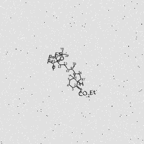 CCOC(=O)/C=C1\CCC[C@]2(C)[C@@H]([C@H](C)CCCC(O[Si](C)(C)C)(C(F)F)C(F)F)CC[C@@H]12